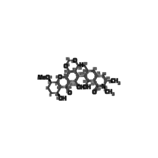 CO[C@@H]1CC[C@H](O)c2c1oc1c3c4c(c(O)c1c2=O)-c1c(cc2cc(C)n(C)c(=O)c2c1O)C[C@H]4OCO3